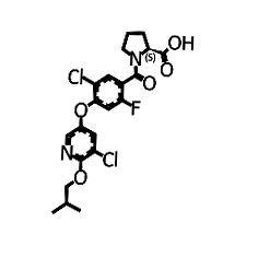 CC(C)COc1ncc(Oc2cc(F)c(C(=O)N3CCC[C@H]3C(=O)O)cc2Cl)cc1Cl